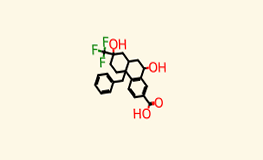 O=C(O)c1ccc2c(c1)C(O)CC1CC(O)(C(F)(F)F)CCC21Cc1ccccc1